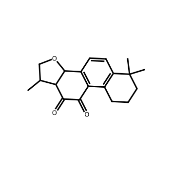 CC1COC2c3ccc4c(c3C(=O)C(=O)C12)CCCC4(C)C